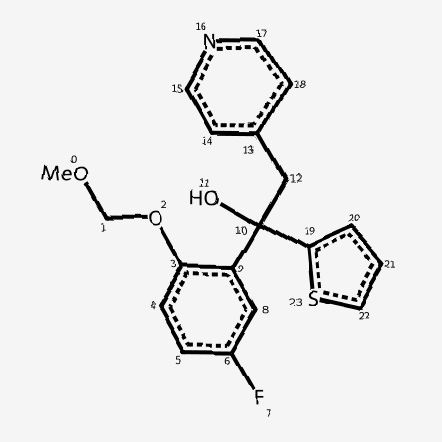 COCOc1ccc(F)cc1C(O)(Cc1ccncc1)c1cccs1